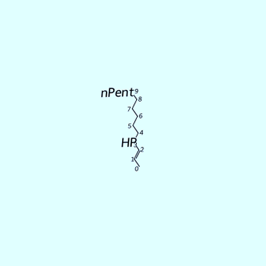 CC=CPCCCCCCCCCC